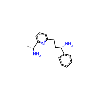 C[C@@H](N)c1cccc(CC[C@H](N)c2ccccc2)n1